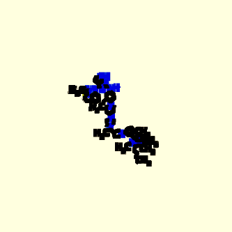 C=CCCC(C(=C)NC)N(C=C)C(=C)c1cc(N2CCC(C(=C)N3CCN(C4CCN(c5ccc(Nc6nc(Nc7cccc8c7N(SC)CC8)c7cc[nH]c7n6)cc5CC)CC4)CC3)C2)ccc1C